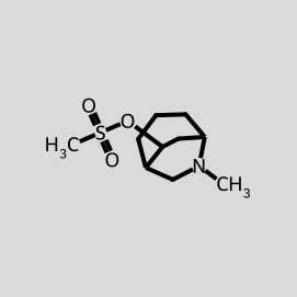 CN1CC2CCCC1CC2OS(C)(=O)=O